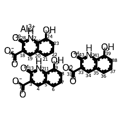 O=C([O-])c1cc2cccc(O)c2[nH]c1=O.O=C([O-])c1cc2cccc(O)c2[nH]c1=O.O=C([O-])c1cc2cccc(O)c2[nH]c1=O.[Al+3]